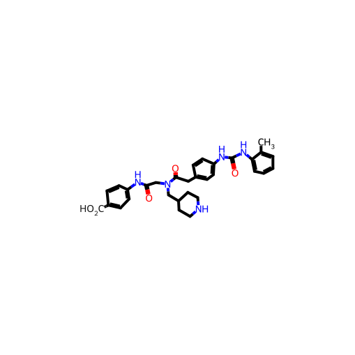 Cc1ccccc1NC(=O)Nc1ccc(CC(=O)N(CC(=O)Nc2ccc(C(=O)O)cc2)CC2CCNCC2)cc1